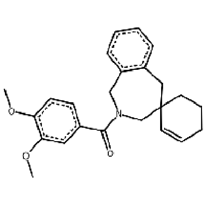 COc1ccc(C(=O)N2Cc3ccccc3CC3(C=CCCC3)C2)cc1OC